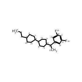 CCCC1CCC(C2CCC(C(C)c3cc(F)cc(F)c3)CC2)CC1